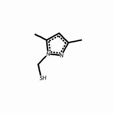 Cc1cc(C)n(CS)n1